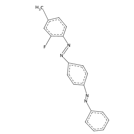 Cc1ccc(N=Nc2ccc(N=Nc3ccccc3)cc2)c(F)c1